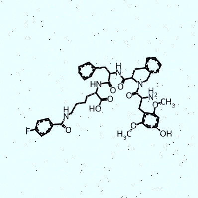 COc1cc(O)cc(OC)c1CC(N)C(=O)N1Cc2ccccc2CC1C(=O)NC(Cc1ccccc1)C(=O)NC(CCCCNC(=O)c1ccc(F)cc1)C(=O)O